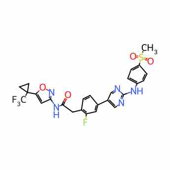 CS(=O)(=O)c1ccc(Nc2ncc(-c3ccc(CC(=O)Nc4cc(C5(C(F)(F)F)CC5)on4)c(F)c3)cn2)cc1